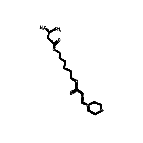 CC(C)CC(=O)OCCCCCCOC(=O)CCN1CCNCC1